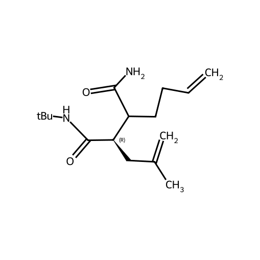 C=CCCC(C(N)=O)[C@@H](CC(=C)C)C(=O)NC(C)(C)C